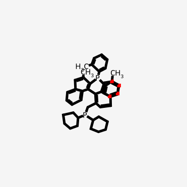 Cc1ccccc1P(c1ccccc1C)c1c(C)cc2ccccc2c1-c1c(CP(C2CCCCC2)C2CCCCC2)ccc2ccccc12